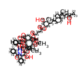 C=C1/C(=C\C=C2/CCC[C@@]3(C)C2CCC3[C@@H](C)/C=C/C(O)C2CC2)C[C@@H](OC(=O)CCCC(=O)OC2CC3OCC3(OC(C)=O)C3C(OC(=O)c4ccccc4)C4(O)CC(OC(=O)C(O)C(NC(=O)c5ccccc5)c5ccccc5)C(C)=C(C(OC(C)=O)C(=O)C23C)C4(C)C)C[C@@H]1O